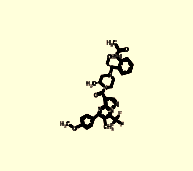 COc1ccc(-c2nc3c(C(=O)N4CCN([C@H](CO)c5ccccc5NC(C)=O)C[C@H]4C)cnn3c(C(F)(F)F)c2C)cc1